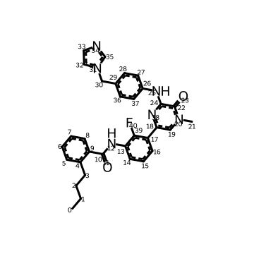 CCCCc1ccccc1C(=O)Nc1cccc(-c2cn(C)c(=O)c(Nc3ccc(Cn4ccnc4)cc3)n2)c1F